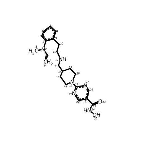 C=CN(C)c1ccccc1CCNCC1CCN(c2ncc(C(=O)NO)cn2)CC1